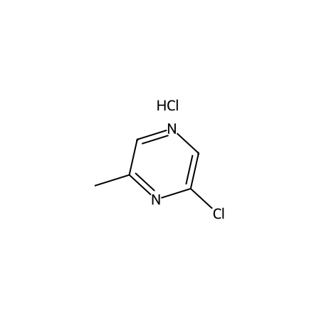 Cc1cncc(Cl)n1.Cl